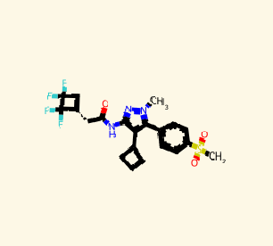 Cn1nc(NC(=O)C[C@H]2CC(F)(F)C2(F)F)c(C2CCC2)c1-c1ccc(S(C)(=O)=O)cc1